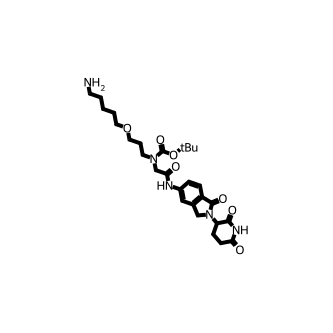 CC(C)(C)OC(=O)N(CCCOCCCCCN)CC(=O)Nc1ccc2c(c1)CN(C1CCC(=O)NC1=O)C2=O